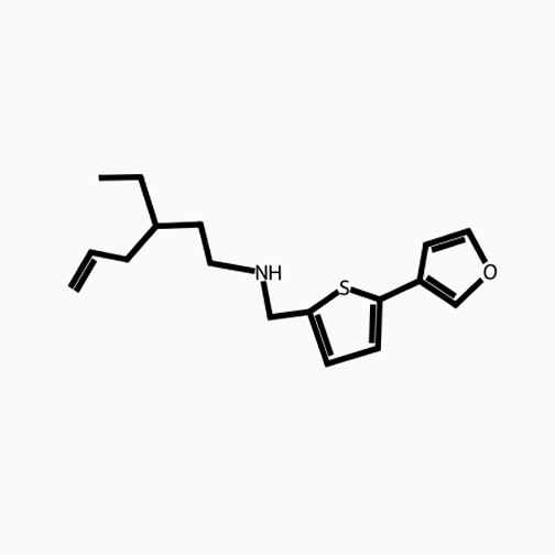 C=CCC(CC)CCNCc1ccc(-c2ccoc2)s1